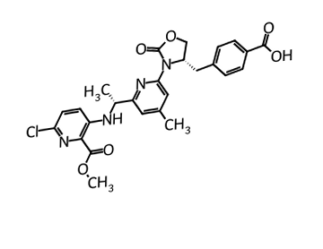 COC(=O)c1nc(Cl)ccc1N[C@H](C)c1cc(C)cc(N2C(=O)OC[C@@H]2Cc2ccc(C(=O)O)cc2)n1